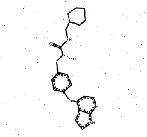 N[C@H](Cc1ccc(Oc2ccnc3[nH]ccc23)cc1)C(=O)NCC1CCCCC1